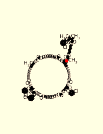 C=C1CCCC(=O)OCCCCCCOC(=O)CCC(CCC(C)C(=O)OCCCCCCOC(=O)C(CC)C(CC)C(=O)Oc2cccc(Cl)c2)C(=O)OCCCCCCOC(=O)CCC(C(=O)Oc2cccc(Cl)c2)CCCC(=O)OCCCCCCOC(=O)CCCC(C(=O)Oc2cccc(Cl)c2)CC(C(=O)Oc2cccc(Cl)c2)CCC(=O)OCCCCCCO1